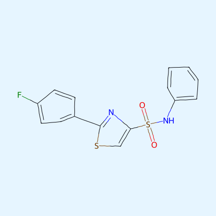 O=S(=O)(Nc1ccccc1)c1csc(-c2ccc(F)cc2)n1